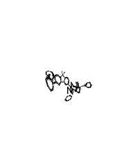 CC1(C)c2ccc(-c3nc(-c4ccccc4)nc(-c4ccccc4)n3)cc2-c2cc3c(cc21)oc1ccccc13